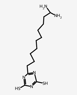 NC(N)CCCCCCCCCc1nc(S)nc(S)n1